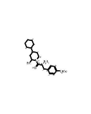 CCC1CC(C2CCCCC2)CCN1C(=O)[C@H](N)Cc1ccc(OC)cc1